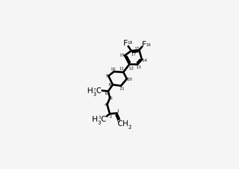 C=CC(C)CCC(C)C1CCC(c2ccc(F)c(F)c2)CC1